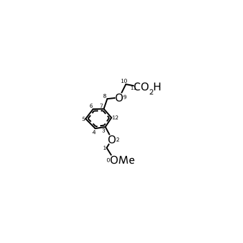 COCOc1cccc(COCC(=O)O)c1